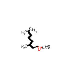 CC(C)=CCCC(C)CCOC=O